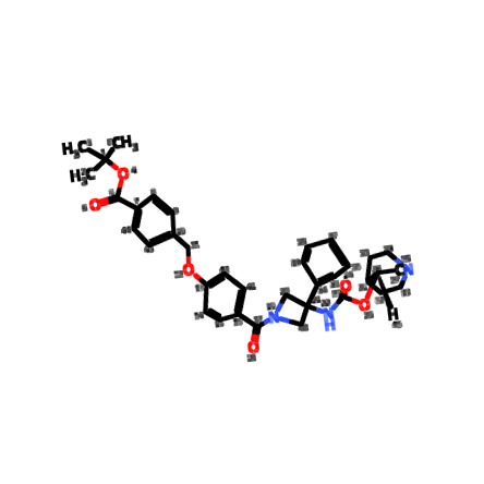 CC(C)(C)OC(=O)c1ccc(COc2ccc(C(=O)N3CC(NC(=O)O[C@H]4CN5CCC4CC5)(c4ccccc4)C3)cc2)cc1